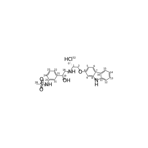 C[C@H](COc1ccc2c(c1)[nH]c1ccccc12)NCC(O)c1cccc(NS(C)(=O)=O)c1.Cl